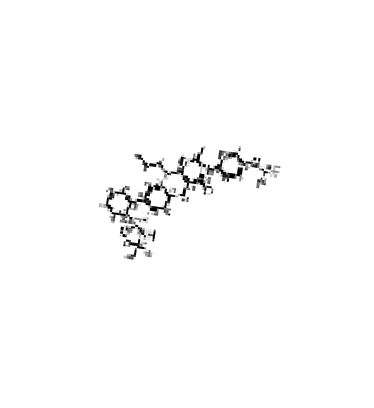 CCCCc1nc(C)n(-c2ncc(OC(F)F)cn2)c(=O)c1Cc1ccc(-c2ccccc2S(=O)(=O)NC(C)(C)C)cc1